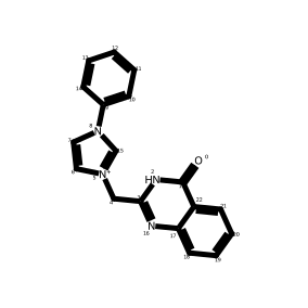 O=c1[nH]c(C[n+]2ccn(-c3ccccc3)c2)nc2ccccc12